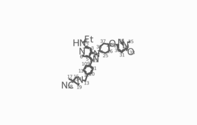 CCNc1cc2c(cn1)c(-c1ccc(CN3CC(C)(C#N)C3)cc1)nn2[C@H]1CC[C@@H](Oc2ccc(=O)n(C)n2)CC1